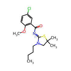 CCCCN1CC(C)(C)S/C1=N\C(=O)c1cc(Cl)ccc1OC